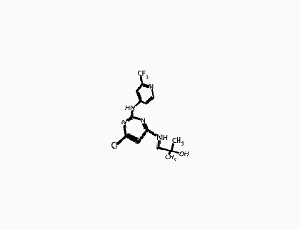 CC(C)(O)CNc1cc(Cl)nc(Nc2ccnc(C(F)(F)F)c2)n1